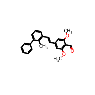 COc1cc(/C=C/c2cccc(-c3ccccc3)c2C)cc(OC)c1C=O